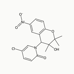 CC1(C)Oc2ccc([N+](=O)[O-])cc2C(n2cc(Cl)ccc2=O)C1(C)O